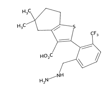 CC1(C)CCc2sc(-c3c(CNN)cccc3C(F)(F)F)c(C(=O)O)c2C1